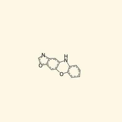 c1ccc2c(c1)Nc1cc3ncoc3cc1O2